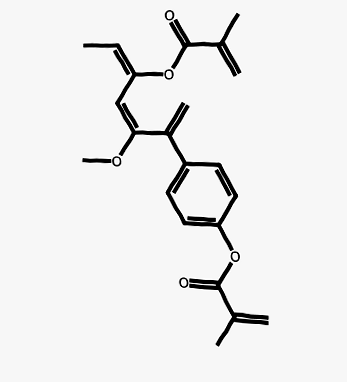 C=C(C)C(=O)OC(=C/C)/C=C(/OC)C(=C)c1ccc(OC(=O)C(=C)C)cc1